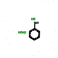 Cl.Cl.Cl.[SeH]c1ccccc1